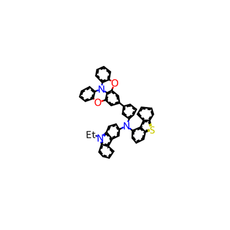 CCn1c2ccccc2c2cc(N(c3cccc(-c4cc5c6c(c4)Oc4ccccc4N6c4ccccc4O5)c3)c3cccc4sc5ccccc5c34)ccc21